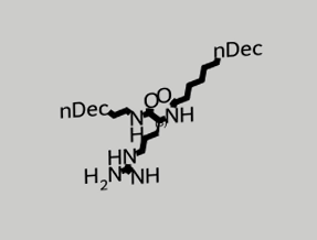 CCCCCCCCCCCCCCCC(=O)N[C@@H](CCCNC(=N)N)C(=O)NCCCCCCCCCCCC